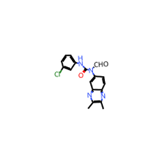 Cc1nc2ccc(N(C=O)C(=O)Nc3cccc(Cl)c3)cc2nc1C